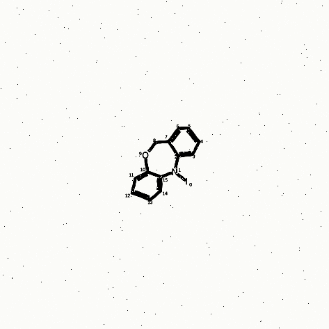 IN1c2ccccc2COc2ccccc21